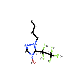 CCCCN1N=CN(Br)C1C(F)(F)C(F)(F)F